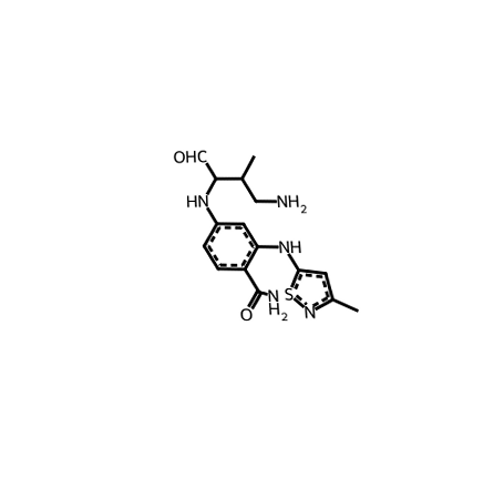 Cc1cc(Nc2cc(NC(C=O)C(C)CN)ccc2C(N)=O)sn1